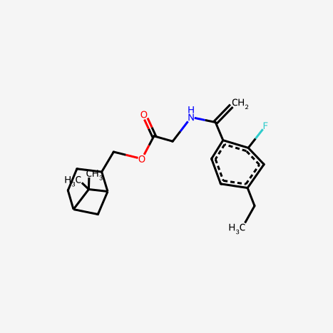 C=C(NCC(=O)OCC1CCC2CC1C2(C)C)c1ccc(CC)cc1F